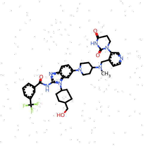 CN(Cc1ccncc1N1CCC(=O)NC1=O)C1CCN(c2ccc3nc(NC(=O)c4cccc(C(F)(F)F)c4)n(C4CCC(CO)CC4)c3c2)CC1